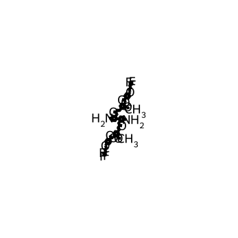 COc1cc(/C=C/C(=O)Cc2cc(N)ccc2-c2ccc(N)cc2CC(=O)/C=C/c2ccc(OC(=O)c3ccc(OCCCC(F)(F)F)cc3)c(OC)c2)ccc1OC(=O)c1ccc(OCCCC(F)(F)F)cc1